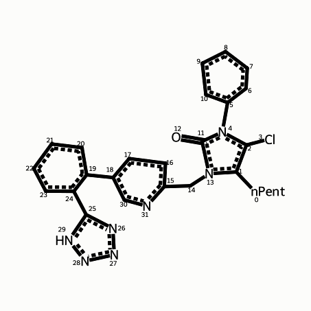 CCCCCc1c(Cl)n(-c2ccccc2)c(=O)n1Cc1ccc(-c2ccccc2-c2nnn[nH]2)cn1